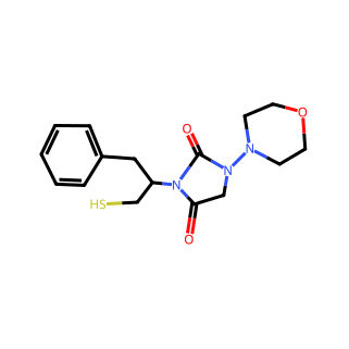 O=C1CN(N2CCOCC2)C(=O)N1C(CS)Cc1ccccc1